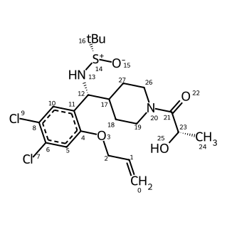 C=CCOc1cc(Cl)c(Cl)cc1[C@H](N[S@@+]([O-])C(C)(C)C)C1CCN(C(=O)[C@H](C)O)CC1